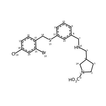 O=C(O)N1CCC(CNCc2cccc(SCc3ccc(Cl)cc3Br)c2)C1